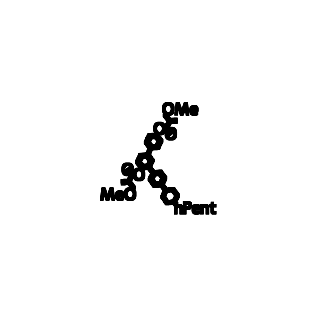 C=C(COC)C(=O)Oc1ccc(-c2ccc(OC(=O)C(=C)COC)c(-c3ccc(C4CCC(CCCCC)CC4)cc3)c2)cc1